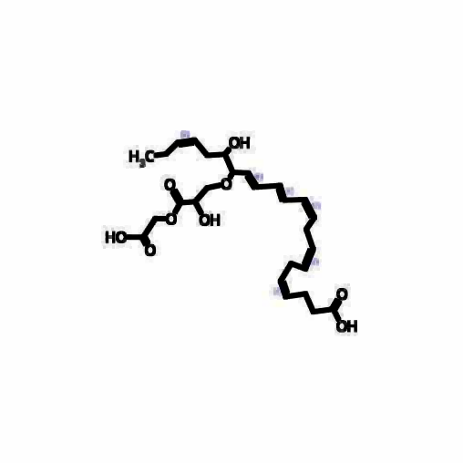 CC/C=C\CC(O)C(/C=C/C=C/C=C\C/C=C\C/C=C\CCC(=O)O)OCC(O)C(=O)OCC(=O)O